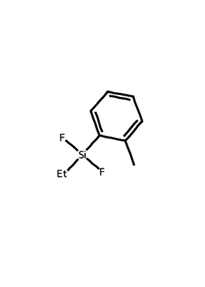 CC[Si](F)(F)c1ccccc1C